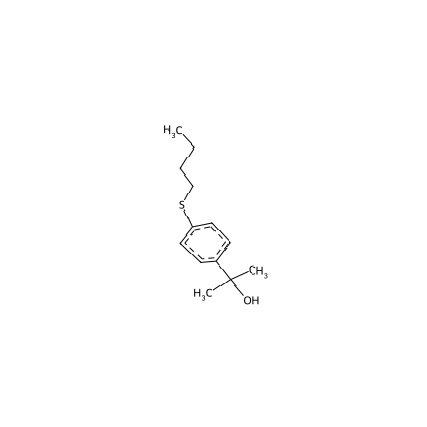 CCCCSc1ccc(C(C)(C)O)cc1